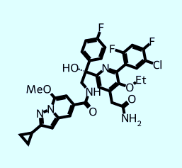 CCOc1c(CC(N)=O)cc([C@@](O)(CNC(=O)c2cc(OC)n3nc(C4CC4)cc3c2)c2ccc(F)cc2)nc1-c1cc(Cl)c(F)cc1F